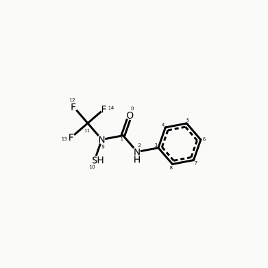 O=C(Nc1ccccc1)N(S)C(F)(F)F